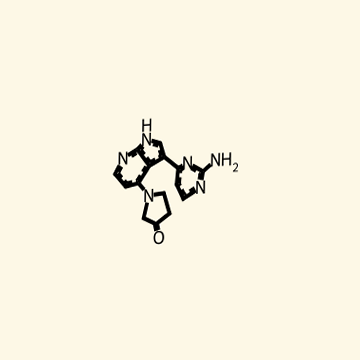 Nc1nccc(-c2c[nH]c3nccc(N4CCC(=O)C4)c23)n1